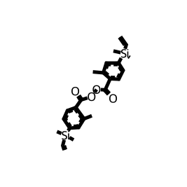 C=C[Si](C)(C)c1ccc(C(=O)OOC(=O)c2ccc([Si](C)(C)C=C)cc2C)c(C)c1